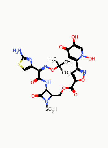 CC(C)(ON=C(C(=O)N[C@@H]1C(=O)N(S(=O)(=O)O)[C@@H]1COC(=O)c1cc(-c2cc(=O)c(O)cn2O)no1)c1csc(N)n1)C(=O)O